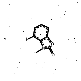 [CH2]n1c(=O)oc2cccc(F)c21